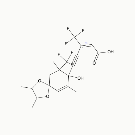 CC1=CC2(CC(C)(C(F)(F)F)C1(O)C#C/C(=C\C(=O)O)C(F)(F)F)OC(C)C(C)O2